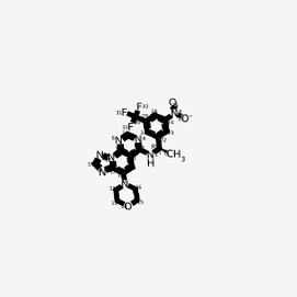 C[C@@H](Nc1ncnc2c1cc(N1CCOCC1)c1ncnn12)c1cc([N+](=O)[O-])cc(C(F)(F)F)c1